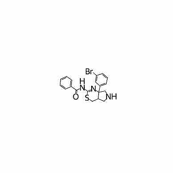 O=C(NC1=NC2(c3cccc(Br)c3)CNCC2CS1)c1ccccc1